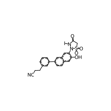 N#CCCc1cccc(-c2ccc3cc(O)c(N4N(I)C(=O)CS4(=O)=O)cc3c2)c1